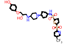 O=S(=O)(Nc1ccc(N2CCC(NC[C@H](O)COc3ccc(O)cc3)CC2)cc1)c1ccc(S(=O)(=O)c2ccc(C(F)(F)F)cn2)s1